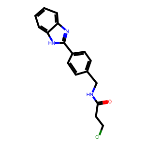 O=C(CCCl)NCc1ccc(-c2nc3ccccc3[nH]2)cc1